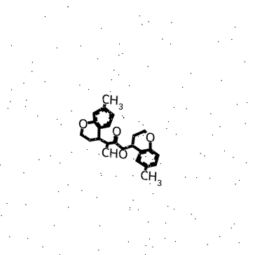 Cc1ccc2c(c1)OCCC2C(C=O)C(=O)CC1CCOc2ccc(C)cc21